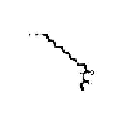 C=CC(=O)OC(=O)CCCCCCCCCCCCCCCCCCCCC